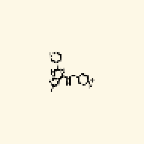 Cc1cc2c(NCC3=CCC(F)(F)C=C3)nc(-c3cccnc3)nc2s1